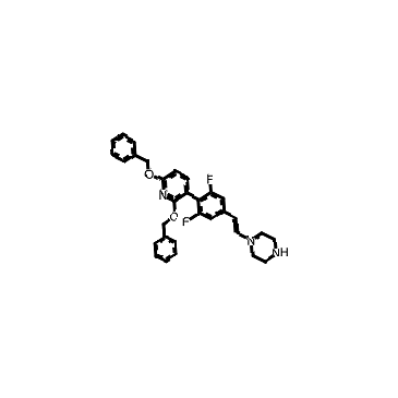 Fc1cc(/C=C/N2CCNCC2)cc(F)c1-c1ccc(OCc2ccccc2)nc1OCc1ccccc1